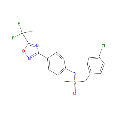 CS(=O)(Cc1ccc(Cl)cc1)=Nc1ccc(-c2noc(C(F)(F)F)n2)cc1